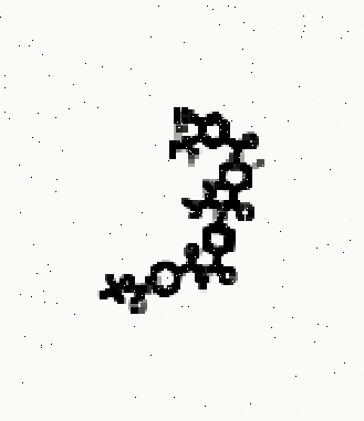 CSc1nc2c(c(=O)n1-c1ccc(C(=O)N(C)C(=O)C3CCN(C(=O)OC(C)(C)C)CC3)cc1)C[C@@H](C)N(C(=O)c1ccc(Br)c(C(F)(F)F)c1)C2